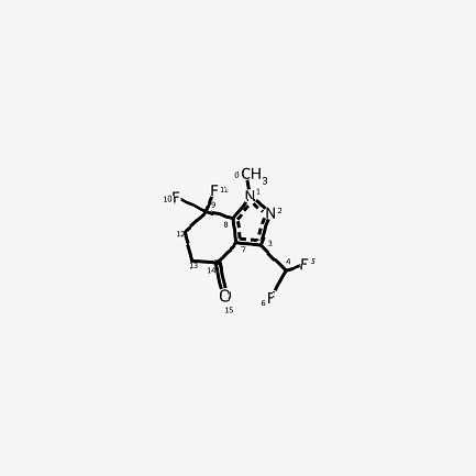 Cn1nc(C(F)F)c2c1C(F)(F)CCC2=O